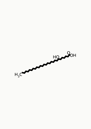 CCCCCCCCCCCCCCCCCCCCCC(O)CCCCCC(=O)O